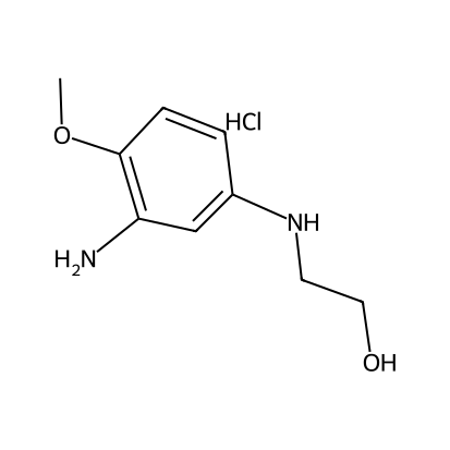 COc1ccc(NCCO)cc1N.Cl